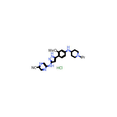 COc1cc(NC2CCN(C(C)C)CC2)ccc1-c1cc(Nc2cnc(C#N)cn2)n[nH]1.Cl